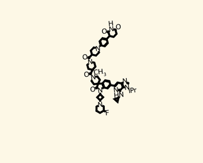 CC(C)n1cnc2cc(-c3ccc4c(c3)N(C3CC(N5CCCC(F)C5)C3)C(=O)C43CCN(C(=O)C4(C)CCN(C(=O)C5CCN(c6ccc(C7CCC(=O)NC7=O)cc6)CC5)CC4)CC3)nc(NC3CC3)c21